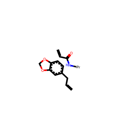 C=CC(=O)NC(C)C.C=CCc1ccc2c(c1)OCO2